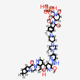 COc1ncc(-c2ccnc(N3CCn4c(cc5c4CC(C)(C)C5)C3=O)c2C(C)O)cc1Nc1ccc(N2CCN(C3CCN(c4ccc5c(c4)C(=O)N([C@H]4CCC(=O)N(COP(=O)(O)O)C4=O)C5=O)[C@@H](C)C3)C[C@@H]2C)cn1